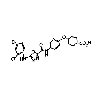 O=C(Nc1ccc(O[C@H]2CC[C@@H](C(=O)O)CC2)nc1)c1nnc(Nc2ccc(Cl)cc2Cl)o1